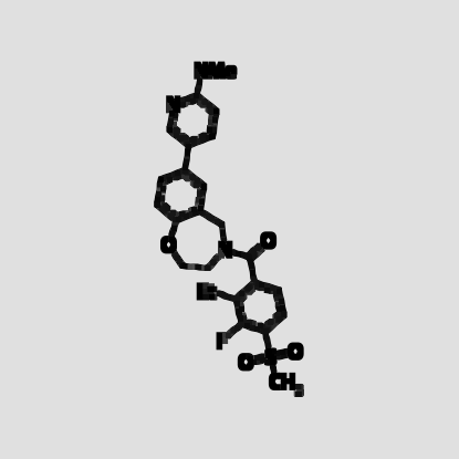 CCc1c(C(=O)N2CCOc3ccc(-c4ccc(NC)nc4)cc3C2)ccc(S(C)(=O)=O)c1F